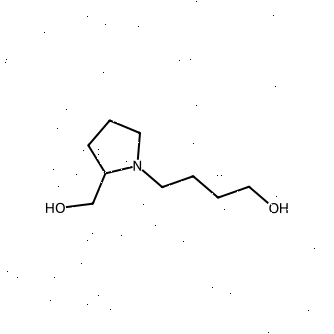 OCCCCN1CCCC1CO